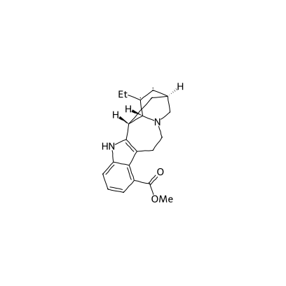 CC[C]1[CH][C@@H]2C[C@H]3c4[nH]c5cccc(C(=O)OC)c5c4CCN(C2)[C@@H]13